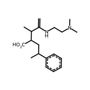 C=C(NCCN(C)C)C(C)C(CC(C)c1ccccc1)C(=O)O